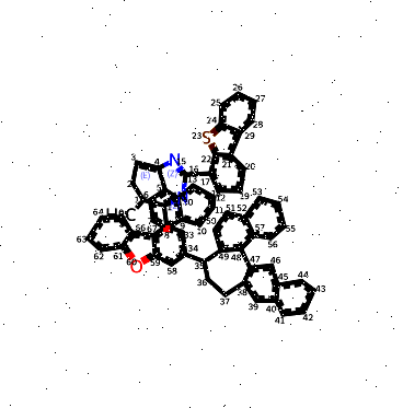 CC1C/C=C(c2cccc3ccccc23)/N=C(c2cccc3c2sc2ccccc23)\N=C/1c1cc(C2CCc3cc4ccccc4cc3-c3c2ccc2ccccc32)cc2oc3ccccc3c12